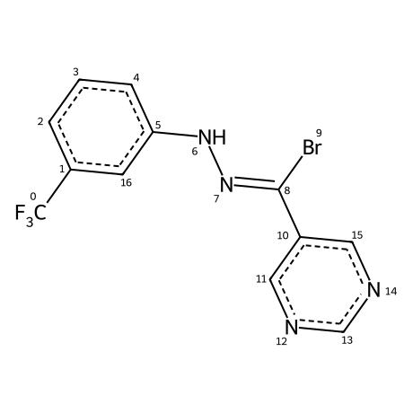 FC(F)(F)c1cccc(NN=C(Br)c2cncnc2)c1